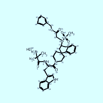 CC(C)(N)C(=O)N[C@H](Cc1c[nH]c2ccccc12)C(=O)N1CCC2(CC1)CC(N(CC(=O)OCc1ccccc1)S(C)(=O)=O)c1ccccc12.Cl